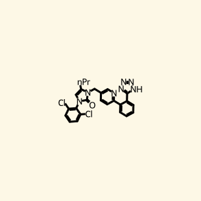 CCCc1cn(-c2c(Cl)cccc2Cl)c(=O)n1Cc1ccc(-c2ccccc2-c2nnn[nH]2)nc1